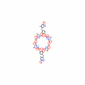 COc1cc(C)c(Cc2ccc(CC3OC(=O)C(CC(C)C)N(C)C(=O)C(C)OC(=O)C(CC(C)C)N(C)C(=O)C(Cc4ccc(Cc5cnc(OC)cc5C)cc4)OC(=O)C(CC(C)C)N(C)C(=O)C(C)OC(=O)C(CC(C)C)N(C)C3=O)cc2)cn1